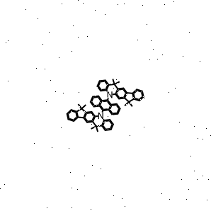 CC1(C)c2ccccc2-c2cc3c(cc21)N(c1c2ccccc2c(N2c4ccccc4C(C)(C)c4cc5c(cc42)C(C)(C)c2ccccc2-5)c2ccccc12)c1ccccc1C3(C)C